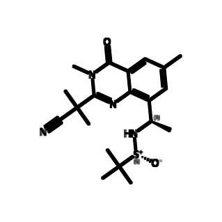 Cc1cc([C@@H](C)N[S@+]([O-])C(C)(C)C)c2nc(C(C)(C)C#N)n(C)c(=O)c2c1